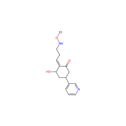 CCONCCC=C1C(=O)CC(c2cccnc2)CC1O